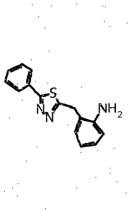 Nc1ccccc1Cc1nnc(-c2ccccc2)s1